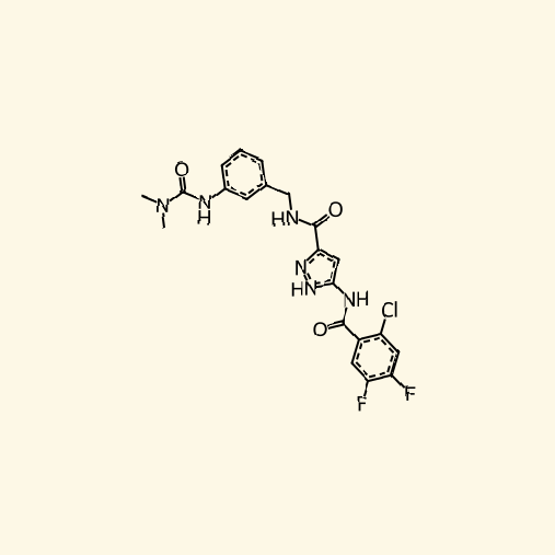 CN(C)C(=O)Nc1cccc(CNC(=O)c2cc(NC(=O)c3cc(F)c(F)cc3Cl)[nH]n2)c1